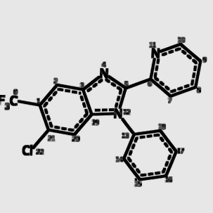 FC(F)(F)c1cc2nc(-c3ccccn3)n(-c3c[c]ccc3)c2cc1Cl